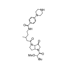 CCC(C)C(OC)C(=O)N1CC(=O)C2C1CCN2C(=O)CC(C)CCNC(=O)c1ccc(N2CCNCC2)cc1